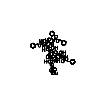 CC(C)(C)OC(=O)N1CC(O)(C(=O)N[C@@H]2C[C@H](NC(=O)OCc3ccccc3)[C@@H](O)[C@H](O[C@@H]3O[C@H](CO)[C@@H](O[C@H]4O[C@H]5CN(C(=O)OCc6ccccc6)C(c6ccccc6)O[C@H]5[C@H](O)[C@H]4NC(=O)OCc4ccccc4)[C@H]3O)[C@H]2O)C1